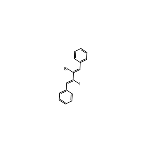 BrC(=Cc1ccccc1)C(I)=Cc1ccccc1